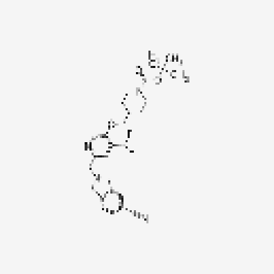 CC(C)(C)OC(=O)N1CCC(COc2cnc(CN3Cc4ccc(C#N)cc4C3)cc2C(F)F)CC1